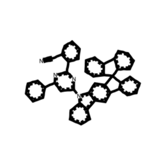 N#Cc1ccccc1-c1nc(-c2ccccc2)cc(-n2c3ccccc3c3cc4c(cc32)C2(c3ccccc3-c3ccccc32)c2ccccc2-4)n1